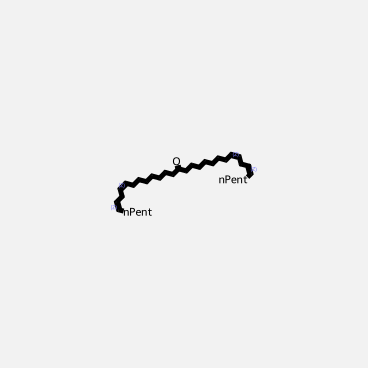 CCCCC/C=C\C/C=C\CCCCCCCC(=O)CCCCCCC/C=C\C/C=C\CCCCC